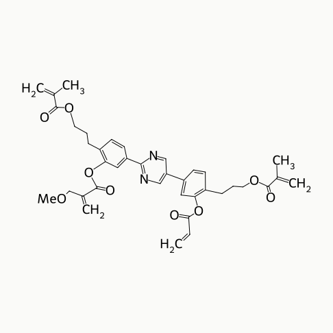 C=CC(=O)Oc1cc(-c2cnc(-c3ccc(CCCOC(=O)C(=C)C)c(OC(=O)C(=C)COC)c3)nc2)ccc1CCCOC(=O)C(=C)C